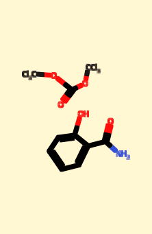 NC(=O)c1ccccc1O.O=C(OC(Cl)(Cl)Cl)OC(Cl)(Cl)Cl